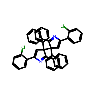 Clc1ccccc1C1=CC(c2ccccc2)(C2(c3ccccc3)C=C(c3ccccc3Cl)N=C2c2ccccc2)C(c2ccccc2)=N1